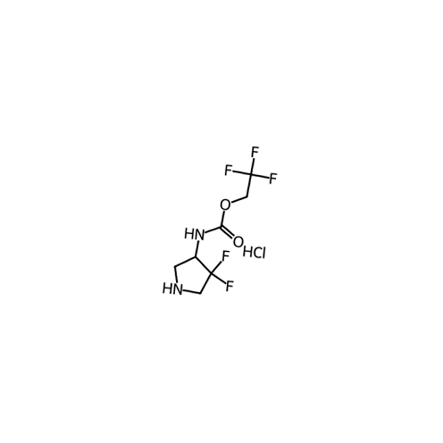 Cl.O=C(NC1CNCC1(F)F)OCC(F)(F)F